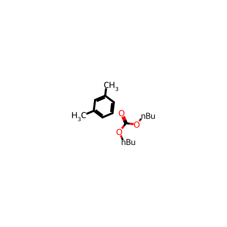 CCCCOC(=O)OCCCC.Cc1cccc(C)c1